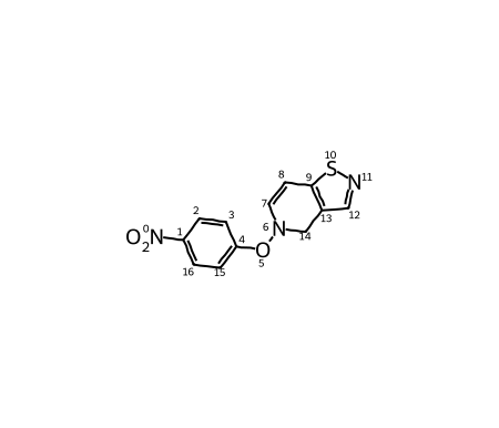 O=[N+]([O-])c1ccc(ON2C=Cc3sncc3C2)cc1